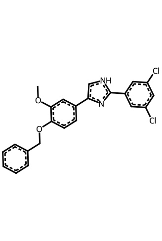 COc1cc(-c2c[nH]c(-c3cc(Cl)cc(Cl)c3)n2)ccc1OCc1ccccc1